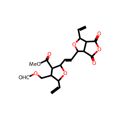 C=CC1OC(C=CC2OC(C=C)C3C(=O)OC(=O)C23)C(C(=O)OC)C1COC=O